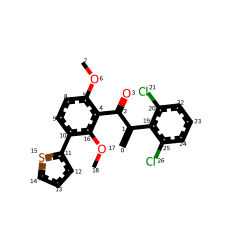 C=C(C(=O)c1c(OC)ccc(-c2cccs2)c1OC)c1c(Cl)cccc1Cl